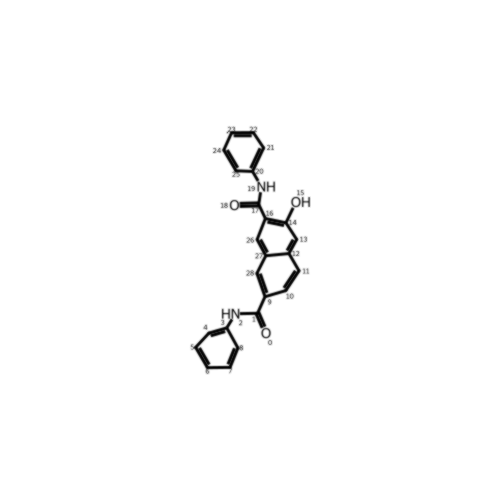 O=C(Nc1ccccc1)c1ccc2cc(O)c(C(=O)Nc3cc[c]cc3)cc2c1